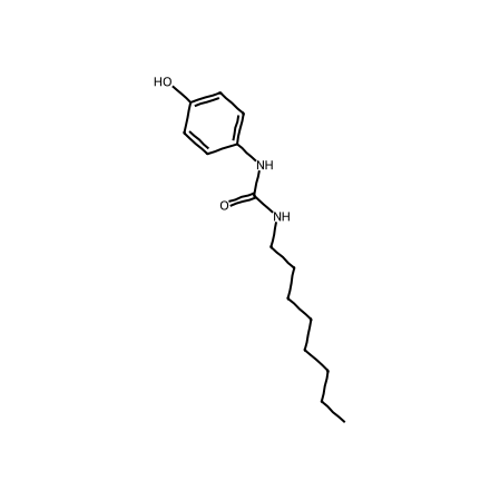 CCCCCCCCNC(=O)Nc1ccc(O)cc1